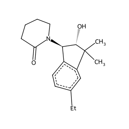 CCc1ccc2c(c1)C(C)(C)[C@@H](O)[C@@H]2N1CCCCC1=O